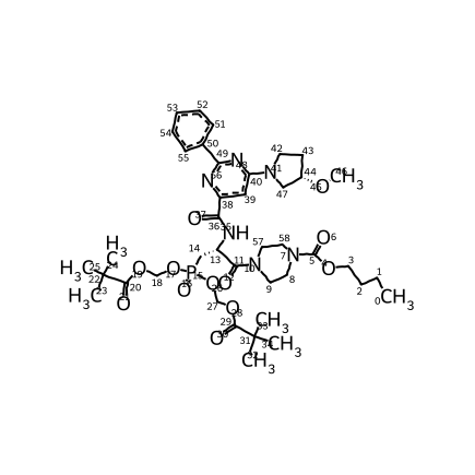 CCCCOC(=O)N1CCN(C(=O)[C@H](CP(=O)(OCOC(=O)C(C)(C)C)OCOC(=O)C(C)(C)C)NC(=O)c2cc(N3CC[C@H](OC)C3)nc(-c3ccccc3)n2)CC1